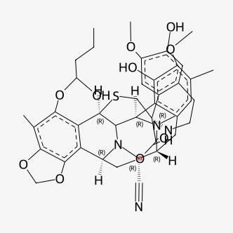 CCCC(O)Oc1c(C)c2c(c3c1[C@H]1SC[C@]4(NCCc5cc(O)c(OC)cc54)C(=O)OC[C@@H]3N3C1[C@H]1c4c(cc(C)c(OC)c4O)C[C@H]([C@@H]3C#N)N1C)OCO2